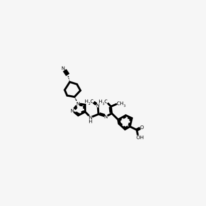 C=N/C(=N\C(=C(C)C)c1ccc(C(=O)O)cc1)Nc1cnn([C@H]2CC[C@@H](C#N)CC2)c1